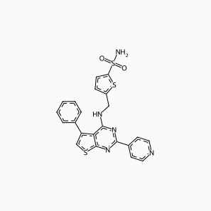 NS(=O)(=O)c1ccc(CNc2nc(-c3ccncc3)nc3scc(-c4ccccc4)c23)s1